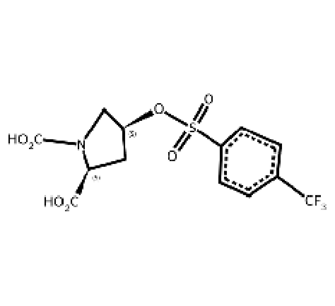 O=C(O)[C@@H]1C[C@H](OS(=O)(=O)c2ccc(C(F)(F)F)cc2)CN1C(=O)O